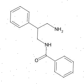 NCC(CNC(=O)c1ccccc1)c1ccccc1